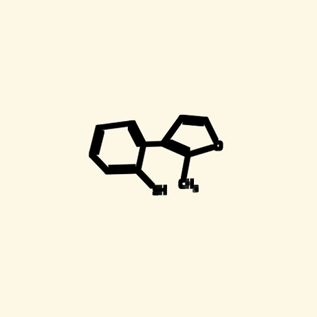 Cc1occc1-c1ccccc1S